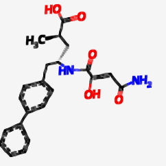 C[C@H](C[C@@H](Cc1ccc(-c2ccccc2)cc1)NC(=O)/C(O)=C/C(N)=O)C(=O)O